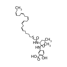 CC/C=C\C/C=C\C/C=C\C/C=C\C/C=C\CCCCSCC(=O)NC(CC(C)C)C(=O)Nc1ccc(O)c(C(=O)O)c1